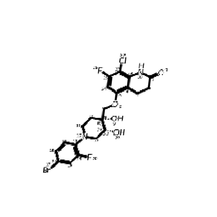 O=C1CCc2c(OC[C@]3(O)CCN(c4ccc(Br)cc4F)C[C@H]3O)cc(F)c(Cl)c2N1